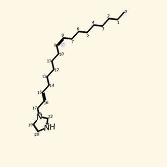 CCCCCCCC/C=C\CCCCCC=CCN1CCNC1